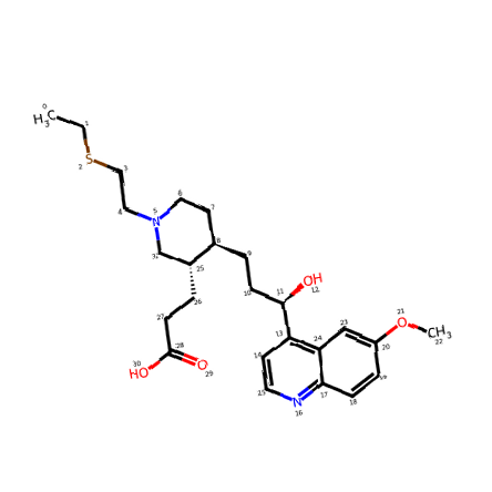 CCSCCN1CC[C@@H](CC[C@@H](O)c2ccnc3ccc(OC)cc23)[C@H](CCC(=O)O)C1